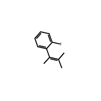 CC(C)=C(C)c1ccccc1F